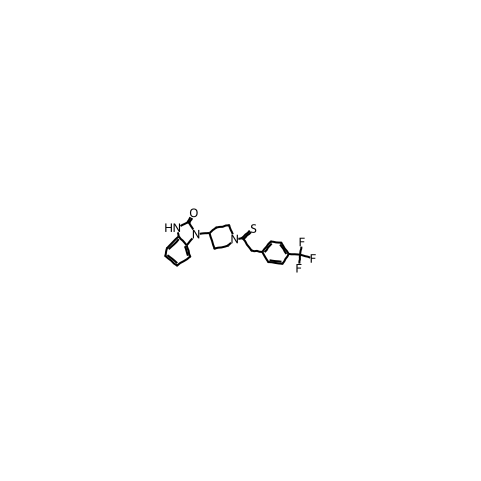 O=c1[nH]c2ccccc2n1C1CCN(C(=S)Cc2ccc(C(F)(F)F)cc2)CC1